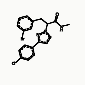 CNC(=O)C(Cc1cccc(Br)c1)n1ccc(-c2ccc(Cl)cc2)n1